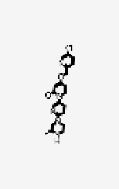 C[C@H]1CN(c2ccc(-n3ccc(OCc4ccc(Cl)cn4)cc3=O)cn2)CCN1